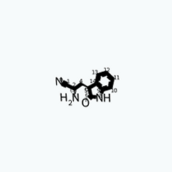 N#C[C@@H](N)C[C@@H]1C(=O)Nc2ccccc21